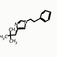 CC(C)(C)Cc1cn(CCc2ccccc2)cn1